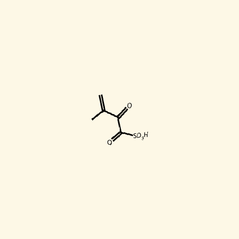 C=C(C)C(=O)C(=O)S(=O)(=O)O